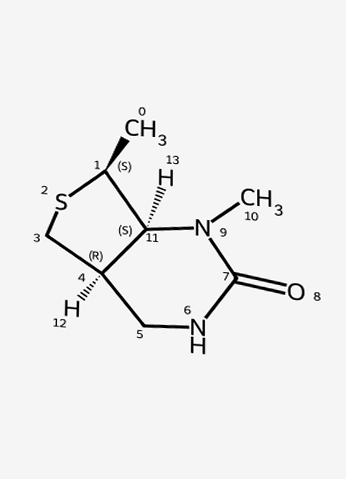 C[C@@H]1SC[C@@H]2CNC(=O)N(C)[C@@H]21